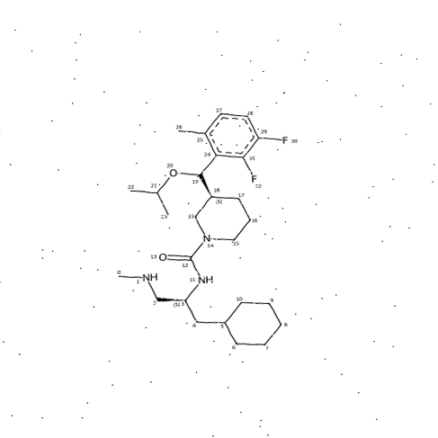 CNC[C@H](CC1CCCCC1)NC(=O)N1CCC[C@H](C(OC(C)C)c2c(C)ccc(F)c2F)C1